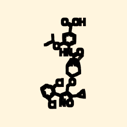 CC(C)Oc1cc(C(=O)O)ccc1NC(=O)N1C2C[C@H](OCc3c(-c4c(Cl)cccc4Cl)noc3C3CC3)CC1[C@H](C)C2